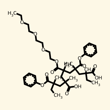 CCOCCOCCOCCOC(=O)C(C)(CC(C)(CC(C)(CC)C(=O)Oc1ccccc1)C(=O)O)CC(C)(CC(C)(CC)C(=O)O)C(=O)Oc1ccccc1